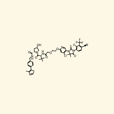 Cc1ncsc1-c1ccc(CNC(=O)[C@@H]2CC(O)CN2C(=O)[C@@H](NC(=O)COCCOc2cc(Cl)c(N3C(=S)N(c4ccc(C#N)c(C(F)(F)F)c4F)C(=O)C3(C)C)cn2)C(C)(C)C)cc1